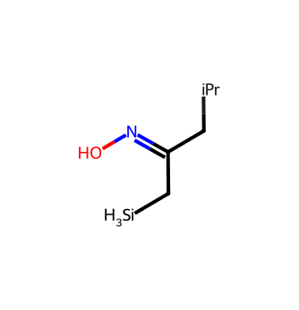 CC(C)CC(C[SiH3])=NO